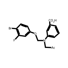 CC(=O)CN(COc1ccc(Br)c(F)c1)c1cccc(C(=O)O)c1